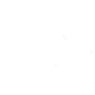 Cc1ccc2c(c1)c1ccccc1n2-c1cc(C#N)ccc1-c1ccc(-c2ccc(C(F)(F)F)cc2C(F)(F)F)cc1-n1c2ccccc2c2cc(C)ccc21